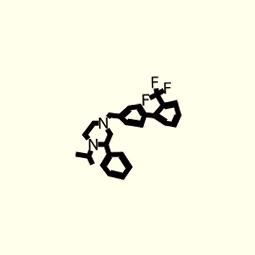 CC(C)N1CCN(Cc2ccc(-c3ccccc3C(F)(F)F)cc2)CC1c1ccccc1